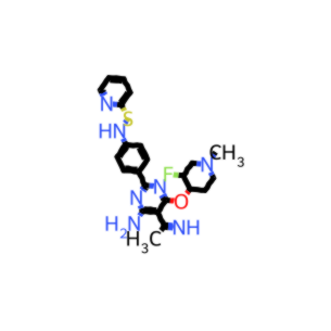 CC(=N)c1c(N)nc(-c2ccc(NSc3ccccn3)cc2)nc1OC1CCN(C)CC1F